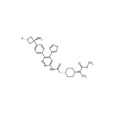 COC(=O)N(C)[C@H]1CC[C@H](CC(=O)Nc2cc(-c3ccsc3)c(-c3ccc([C@]4(N)C[C@H](F)C4)cc3)nn2)CC1